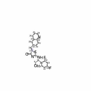 O=C1N=C(NC(CO)c2ccc(F)cc2F)S/C1=C\c1ccc2ncccc2c1